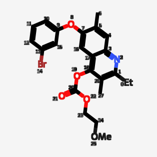 CCc1nc2cc(C)c(Oc3cccc(Br)c3)cc2c(OC(=O)OCCOC)c1C